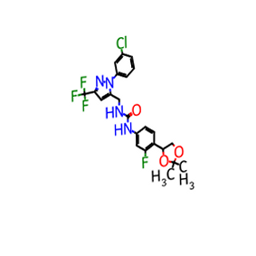 CC1(C)OCC(c2ccc(NC(=O)NCc3cc(C(F)(F)F)nn3-c3cccc(Cl)c3)cc2F)O1